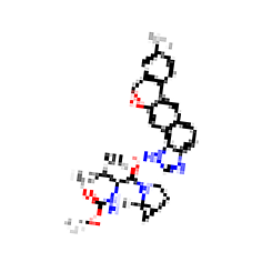 Bc1ccc2c(c1)COc1cc3c(ccc4nc([C@@H]5CC6C[C@H]6N5C(=O)[C@@H](NC(=O)OC)C(C)C)[nH]c43)cc1-2